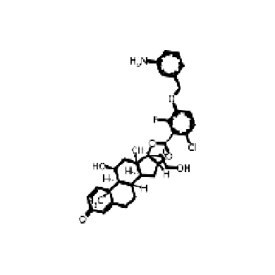 C[C@]12C=CC(=O)C=C1CC[C@@H]1[C@@H]2[C@@H](O)C[C@@]2(C)[C@H]1C[C@H]1O[C@H](c3c(Cl)ccc(OCc4cccc(N)c4)c3F)O[C@]12C(=O)CO